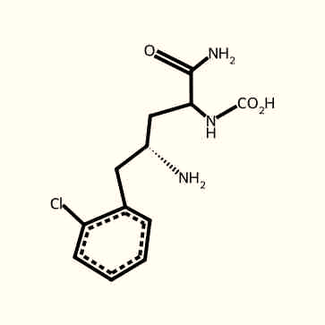 NC(=O)C(C[C@H](N)Cc1ccccc1Cl)NC(=O)O